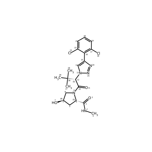 CNC(=O)[C@@H]1C[C@@H](O)CN1C(=O)[C@@H](n1cc(-c2c(Cl)cccc2Cl)nn1)C(C)(C)C